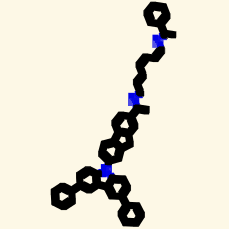 C=C(/N=C/C=C/C=C\C=C/N=C(\C)c1ccccc1)c1ccc2c(c1)Cc1cc(-n3c4ccc(-c5ccccc5)cc4c4cc(-c5ccccc5)ccc43)ccc1-2